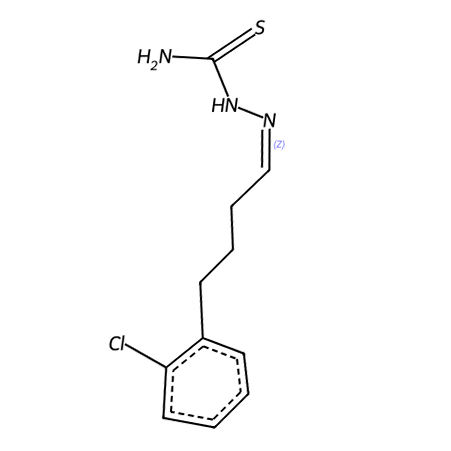 NC(=S)N/N=C\CCCc1ccccc1Cl